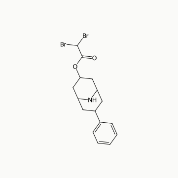 O=C(OC1CC2CC(c3ccccc3)CC(C1)N2)C(Br)Br